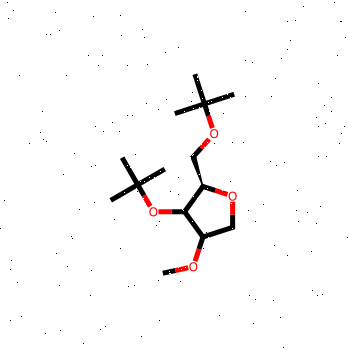 COC1CO[C@H](COC(C)(C)C)C1OC(C)(C)C